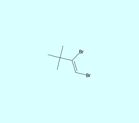 CC(C)(C)C(Br)=CBr